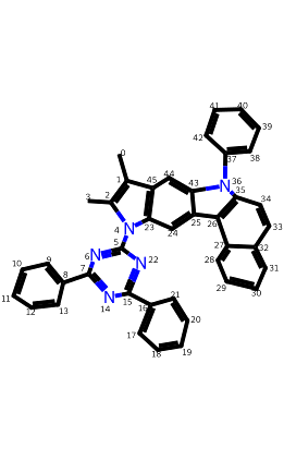 Cc1c(C)n(-c2nc(-c3ccccc3)nc(-c3ccccc3)n2)c2cc3c4c5ccccc5ccc4n(-c4ccccc4)c3cc12